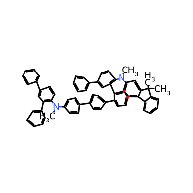 CN(c1ccc(-c2ccc(-c3ccccc3-c3cc(-c4ccccc4)ccc3N(C)c3ccc4c(c3)C(C)(C)c3ccccc3-4)cc2)cc1)c1ccc(-c2ccccc2)cc1-c1ccccc1